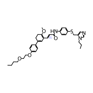 CCCCOCCOc1ccc(C2=CC(/C=C/C(=O)Nc3ccc(SCc4cncn4CCC)cc3)=C(OC)CC2)cc1